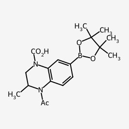 CC(=O)N1c2ccc(B3OC(C)(C)C(C)(C)O3)cc2N(C(=O)O)CC1C